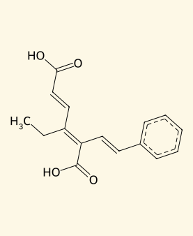 CCC(C=CC(=O)O)=C(C=Cc1ccccc1)C(=O)O